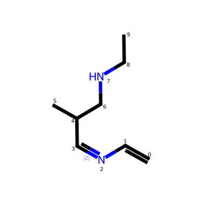 C=C/N=C\C(C)CNCC